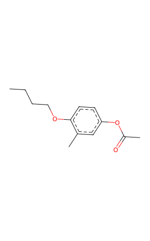 CCCCOc1ccc(OC(C)=O)cc1C